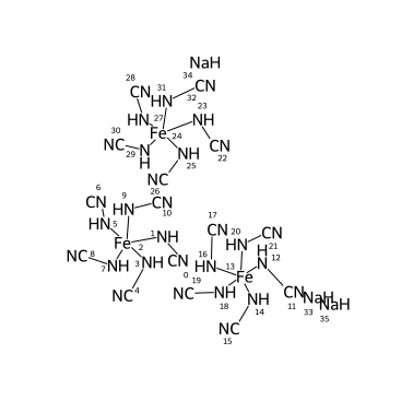 N#C[NH][Fe]([NH]C#N)([NH]C#N)([NH]C#N)[NH]C#N.N#C[NH][Fe]([NH]C#N)([NH]C#N)([NH]C#N)[NH]C#N.N#C[NH][Fe]([NH]C#N)([NH]C#N)([NH]C#N)[NH]C#N.[NaH].[NaH].[NaH]